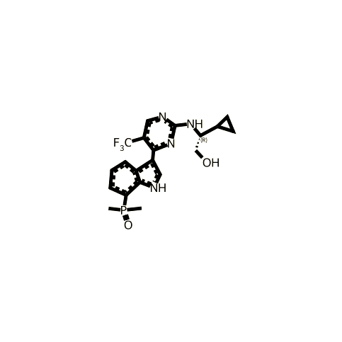 CP(C)(=O)c1cccc2c(-c3nc(N[C@@H](CO)C4CC4)ncc3C(F)(F)F)c[nH]c12